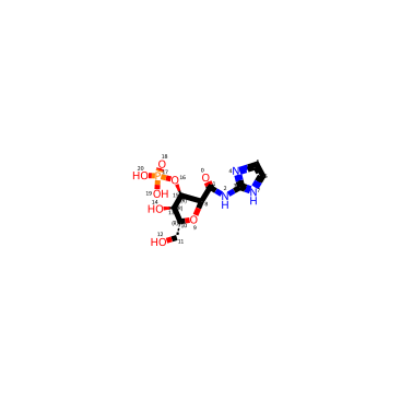 O=C(Nc1ncc[nH]1)C1O[C@H](CO)[C@@H](O)[C@H]1OP(=O)(O)O